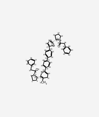 CC1=C([C@@H]2CCCN2C(=O)Cc2ccccc2)SC(c2ccc(-c3ccc(-c4cnc([C@@H]5CCCN5C(=O)Cc5ccccc5)s4)cc3)cc2)=CC1